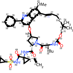 C=C[C@@H]1C[C@]1(NC(=O)[C@@H]1C[C@@H]2CN1C(=O)[C@H](C(C)(C)C)NC(=O)OCC(C)(C)CC/C=C/c1cc3c(cc(-c4ccccc4)nc3cc1OC)O2)C(=O)NS(=O)(=O)C1CC1